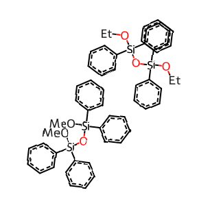 CCO[Si](O[Si](OCC)(c1ccccc1)c1ccccc1)(c1ccccc1)c1ccccc1.CO[Si](O[Si](OC)(c1ccccc1)c1ccccc1)(c1ccccc1)c1ccccc1